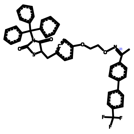 C/C(=N/OCCOc1ccc(CC2SC(=O)N(C(c3ccccc3)(c3ccccc3)c3ccccc3)C2=O)cc1)c1ccc(-c2ccc(C(F)(F)F)cc2)cc1